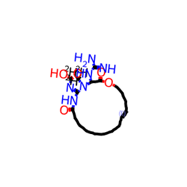 [2H]C([2H])([2H])N1C(=NC(=O)O)NC(=O)CCCCCCC/C=C/CCCOC(=O)C1NC(=N)N